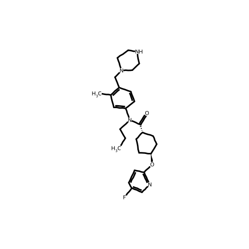 CCCN(c1ccc(CN2CCNCC2)c(C)c1)C(=O)[C@H]1CC[C@H](Oc2ccc(F)cn2)CC1